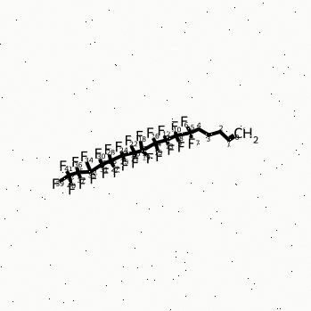 C=CCCCC(F)(F)C(F)(F)C(F)(F)C(F)(F)C(F)(F)C(F)(F)C(F)(F)C(F)(F)C(F)(F)C(F)(F)C(F)(F)C(F)(F)F